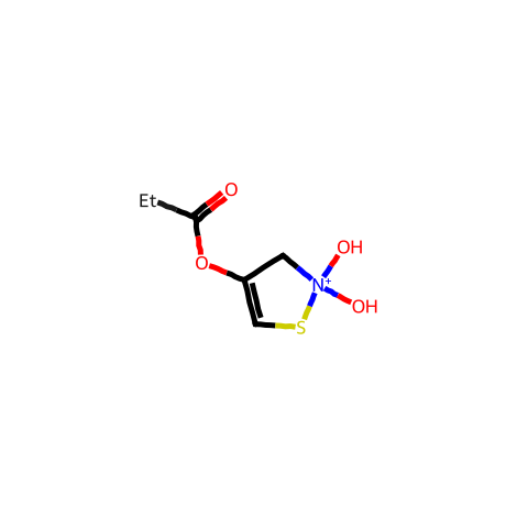 CCC(=O)OC1=CS[N+](O)(O)C1